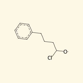 [O]C(Cl)CCCc1ccccc1